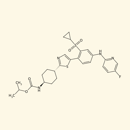 CC(C)OC(=O)N[C@H]1CC[C@H](c2ncc(-c3ccc(Nc4ccc(F)cn4)cc3S(=O)(=O)C3CC3)s2)CC1